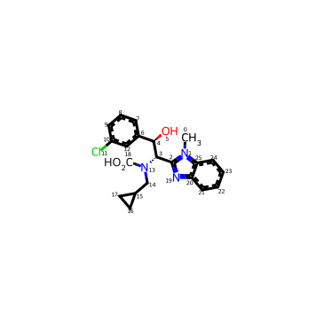 Cn1c([C@@H]([C@H](O)c2cccc(Cl)c2)N(CC2CC2)C(=O)O)nc2ccccc21